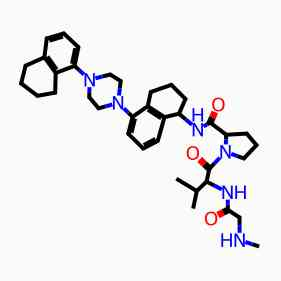 CNCC(=O)NC(C(=O)N1CCCC1C(=O)NC1CCCc2c1cccc2N1CCN(c2cccc3c2CCCC3)CC1)C(C)C